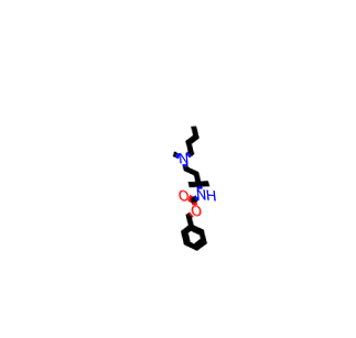 CCCCN(C)CCC(C)(C)NC(=O)OCc1ccccc1